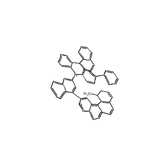 CC1CC=Cc2ccc3ccc4ccc(-c5cc(N(c6ccc(-c7ccccc7)cc6)c6ccccc6-c6cccc7ccccc67)cc6ccccc56)cc4c3c21